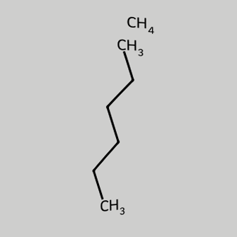 C.CCCCCC